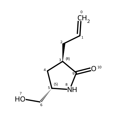 C=CC[C@@H]1C[C@@H](CO)NC1=O